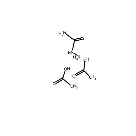 CC(=O)O.CC(=O)O.NNC(N)=S